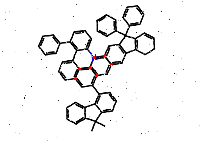 CC1(C)c2ccccc2-c2c(-c3cccc(N(c4ccc5c(c4)C(c4ccccc4)(c4ccccc4)C4=C5CCC=C4)c4cccc(-c5ccccc5)c4-c4ccccc4-c4ccccc4)c3)cccc21